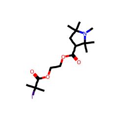 CN1C(C)(C)CC(C(=O)OCCOC(=O)C(C)(C)I)C1(C)C